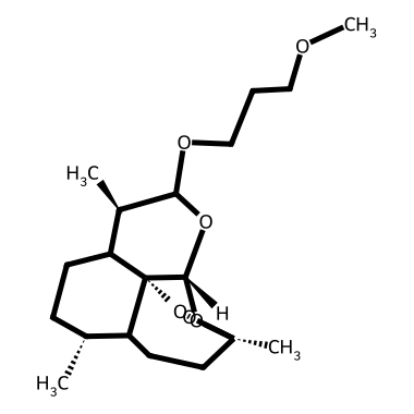 COCCCOC1O[C@@H]2O[C@]3(C)CCC4[C@H](C)CCC([C@H]1C)[C@]42OO3